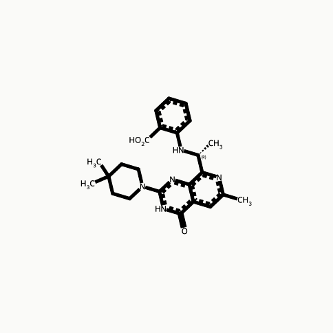 Cc1cc2c(=O)[nH]c(N3CCC(C)(C)CC3)nc2c([C@@H](C)Nc2ccccc2C(=O)O)n1